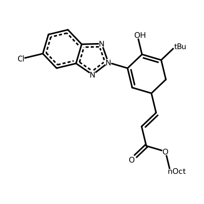 CCCCCCCCOC(=O)C=CC1C=C(n2nc3ccc(Cl)cc3n2)C(O)=C(C(C)(C)C)C1